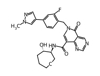 Cn1cc(-c2ccc(Cn3cc(C(=O)N[C@H]4CCCCC[C@@H]4O)c4ncncc4c3=O)c(F)c2)cn1